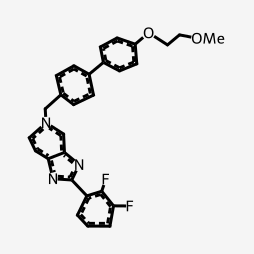 COCCOc1ccc(-c2ccc(Cn3ccc4nc(-c5cccc(F)c5F)nc-4c3)cc2)cc1